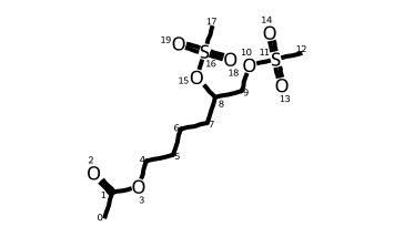 CC(=O)OCCCCC(COS(C)(=O)=O)OS(C)(=O)=O